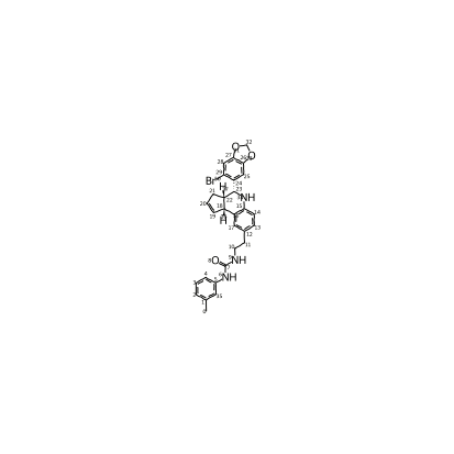 Cc1cccc(NC(=O)NCCc2ccc3c(c2)[C@@H]2C=CC[C@@H]2[C@H](c2cc4c(cc2Br)OCO4)N3)c1